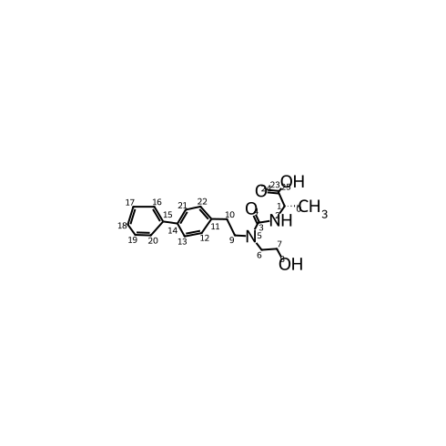 C[C@H](NC(=O)N(CCO)CCc1ccc(-c2ccccc2)cc1)C(=O)O